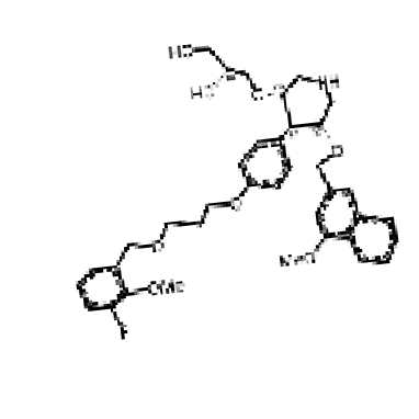 COc1c(F)cccc1COCCCOc1ccc([C@@H]2[C@@H](OCc3cc(OC)c4ccccc4c3)CNC[C@H]2OC[C@H](O)CO)cc1